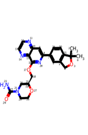 CC1(C)OCc2cc(-c3cc4nccnc4c(OC[C@@H]4CN(C(N)=O)CCO4)n3)ccc21